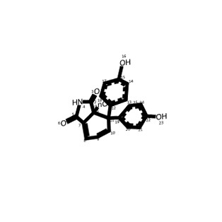 CCCCCCCCC12C(=O)NC(=O)C1=CC=CC2(c1ccc(O)cc1)c1ccc(O)cc1